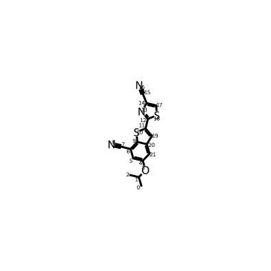 CC(C)Oc1cc(C#N)c2sc(-c3nc(C#N)cs3)cc2c1